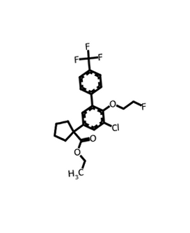 CCOC(=O)C1(c2cc(Cl)c(OCCF)c(-c3ccc(C(F)(F)F)cc3)c2)CCCC1